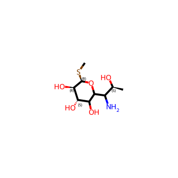 CS[C@H]1OC(C(N)[C@H](C)O)C(O)[C@H](O)[C@H]1O